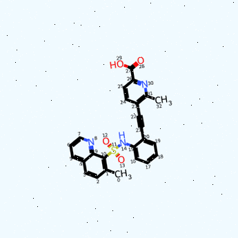 Cc1ccc2cccnc2c1S(=O)(=O)Nc1ccccc1C#Cc1ccc(C(=O)O)nc1C